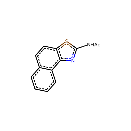 CC(=O)Nc1nc2c(ccc3ccccc32)s1